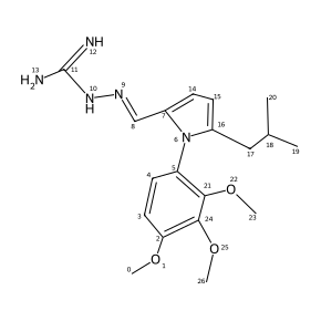 COc1ccc(-n2c(/C=N/NC(=N)N)ccc2CC(C)C)c(OC)c1OC